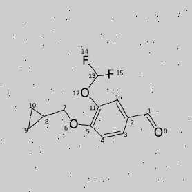 O=Cc1ccc(OCC2CC2)c(OC(F)F)c1